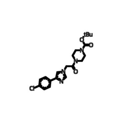 CC(C)(C)OC(=O)N1CCN(C(=O)Cn2cnc(-c3ccc(Cl)cc3)c2)CC1